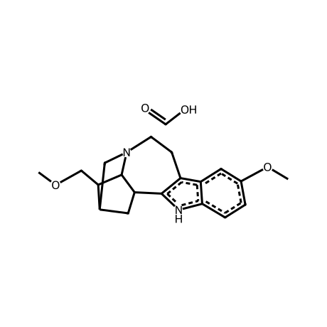 COCC1C2CC3c4[nH]c5ccc(OC)cc5c4CCN(C2)C31.O=CO